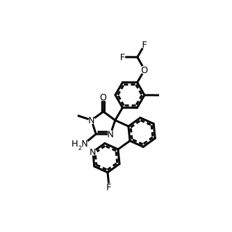 Cc1cc(C2(c3ccccc3-c3cncc(F)c3)N=C(N)N(C)C2=O)ccc1OC(F)F